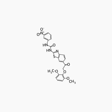 COc1cccc(OC)c1OCC(=O)c1ccc2nc(NC(=O)Nc3cccc([N+](=O)[O-])c3)sc2c1